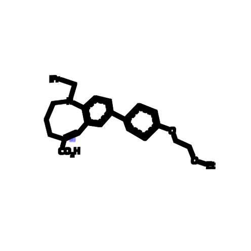 CCOCCOc1ccc(-c2ccc3c(c2)/C=C(/C(=O)O)CCCN3CC(C)C)cc1